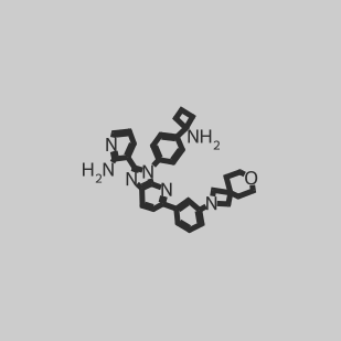 Nc1ncccc1-c1nc2ccc(-c3cccc(N4CC5(CCOCC5)C4)c3)nc2n1-c1ccc(C2(N)CCC2)cc1